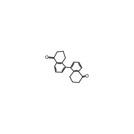 O=C1CCCc2c1cccc2-c1cccc2c1CCCC2=O